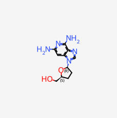 Nc1cc2c(ncn2[C@H]2CC[C@@H](CO)O2)c(N)n1